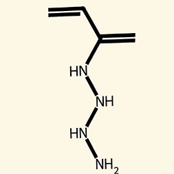 C=CC(=C)NNNN